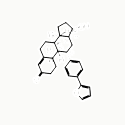 C[C@]12C[C@H](c3ccc(-c4ccco4)cc3)[C@H]3[C@@H](CCC4=CC(=O)CC[C@@H]43)[C@@H]1CC[C@@H]2O